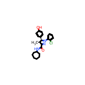 C[C@@H]1C(C(=O)NC2CCCCCC2)=NN(c2ccccc2Cl)[C@@H]1c1ccc(O)cc1